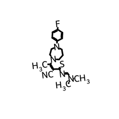 C/C(=C(\C#N)C(=S)/N=C/N(C)C)N1CCCN(c2ccc(F)cc2)CC1